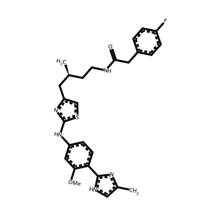 COc1cc(Nc2nc(C[C@@H](C)CCNC(=O)Cc3ccc(F)cc3)cs2)ccc1-c1nc(C)c[nH]1